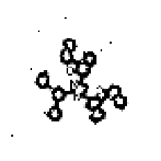 c1ccc(-c2cc(-c3ccccc3)cc(-c3nc(-c4cc5ccccc5c5c4oc4ccc6ccccc6c45)cc(-c4cc5ccccc5c5c4oc4ccc6ccccc6c45)n3)c2)cc1